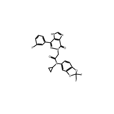 O=C(Cn1nc(-c2cccc(F)c2)c2[nH]cnc2c1=O)N(c1ccc2c(c1)OC(F)(F)O2)C1CC1